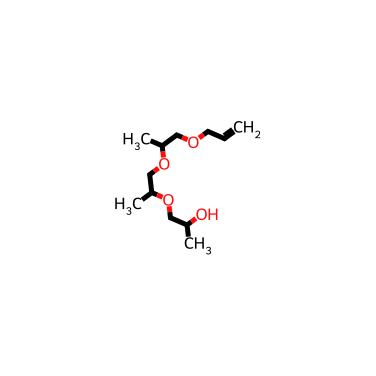 C=CCOCC(C)OCC(C)OCC(C)O